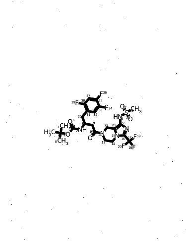 CC(C)(C)OC(=O)NC(CC(=O)N1CCn2c(C(F)(F)F)nc(NS(C)(=O)=O)c2C1)Cc1cc(F)c(F)cc1F